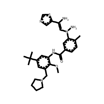 COc1c(CN2CCCC2)cc(C(C)(C)C)cc1NC(=O)c1ccc(C)c(N(N)/C=C(\N)c2cncs2)c1